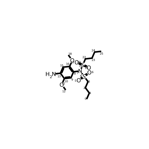 CCCCS(=O)(=O)N(c1cc(OC)c(N)cc1OC)S(=O)(=O)CCCC